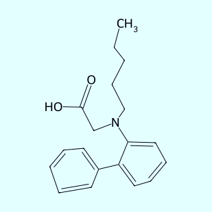 CCCCCN(CC(=O)O)c1ccccc1-c1ccccc1